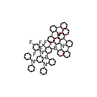 Fc1ccc(N2c3cc(N(c4ccccc4)c4ccccc4)cc4c3B(c3ccccc3N4c3ccccc3)c3cc4c(c(C(F)(F)F)c32)Sc2cc(N(c3ccccc3)c3c(-c5ccccc5)cccc3-c3ccccc3)cc3c2B4c2ccccc2N3c2c(-c3ccccc3)cccc2-c2ccccc2)c(F)c1